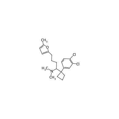 Cc1ccc(CCCC(N(C)C)C2(c3ccc(Cl)c(Cl)c3)CCC2)o1